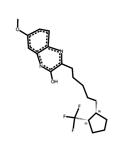 COc1ccc2nc(CCCCC[C@@H]3CCC[C@@H]3C(F)(F)F)c(O)nc2c1